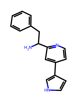 NC(Cc1ccccc1)c1cc(-c2cc[nH]c2)ccn1